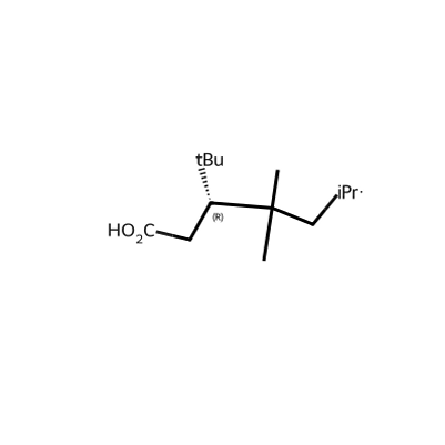 C[C](C)CC(C)(C)[C@H](CC(=O)O)C(C)(C)C